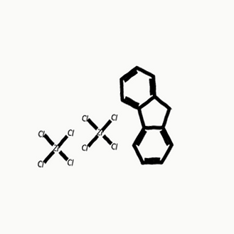 [CH]1c2ccccc2-c2ccccc21.[Cl][Zr]([Cl])([Cl])[Cl].[Cl][Zr]([Cl])([Cl])[Cl]